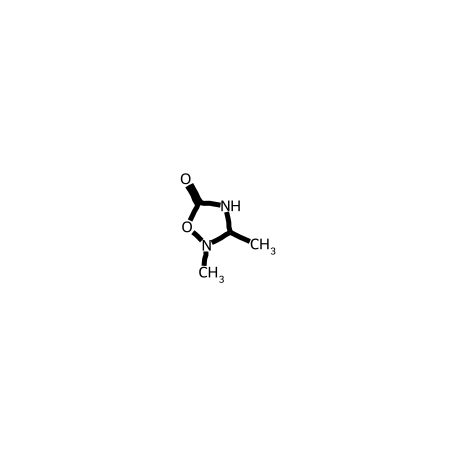 CC1NC(=O)ON1C